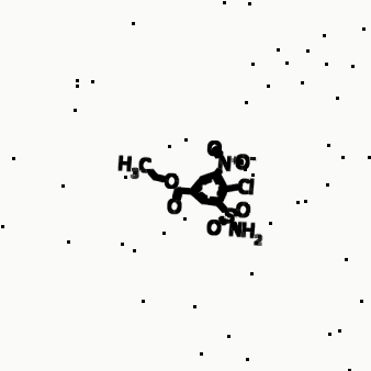 CCOC(=O)c1cc([N+](=O)[O-])c(Cl)c(S(N)(=O)=O)c1